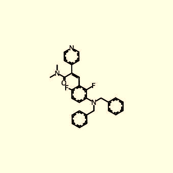 CN(C)C(=O)C(=Cc1c(F)ccc(N(Cc2ccccc2)Cc2ccccc2)c1F)c1ccncc1